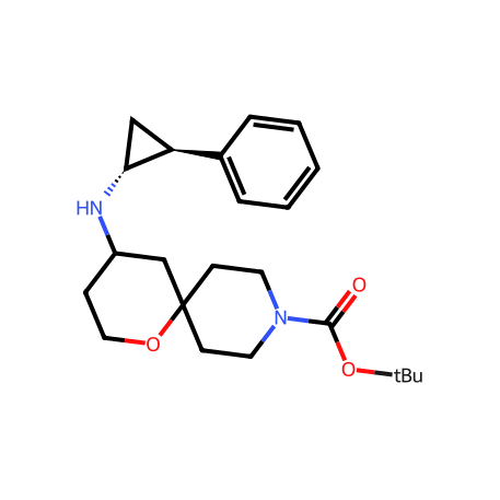 CC(C)(C)OC(=O)N1CCC2(CC1)CC(N[C@@H]1C[C@H]1c1ccccc1)CCO2